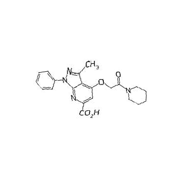 Cc1nn(-c2ccccc2)c2nc(C(=O)O)cc(OCC(=O)N3CCCCC3)c12